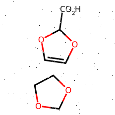 C1COCO1.O=C(O)C1OC=CO1